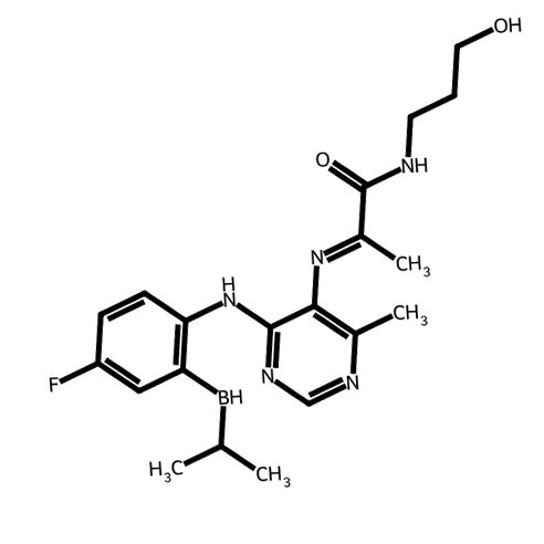 C/C(=N\c1c(C)ncnc1Nc1ccc(F)cc1BC(C)C)C(=O)NCCCO